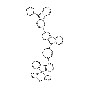 C1=CC(n2c3ccccc3c3cc(-c4ccc5c(c4)c4ccccc4n5-c4ccccc4)ccc32)=CCC=C1c1cccc2c1-c1ccccc1C21c2ccccc2Oc2ccccc21